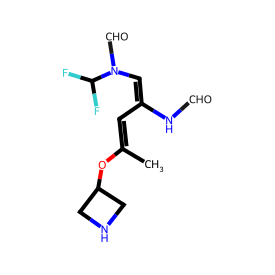 C/C(=C\C(=C/N(C=O)C(F)F)NC=O)OC1CNC1